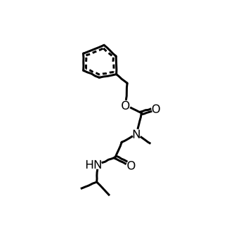 CC(C)NC(=O)CN(C)C(=O)OCc1ccccc1